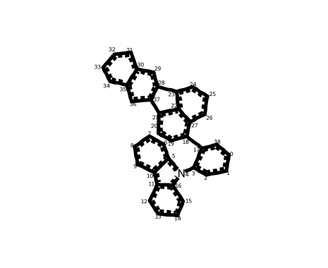 c1ccc(-n2c3ccccc3c3ccccc32)c(-c2ccc3c4c(cccc24)-c2cc4ccccc4cc2-3)c1